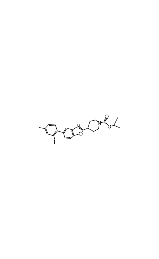 Cc1ccc(-c2ccc3oc(C4CCN(C(=O)OC(C)C)CC4)nc3c2)c(F)c1